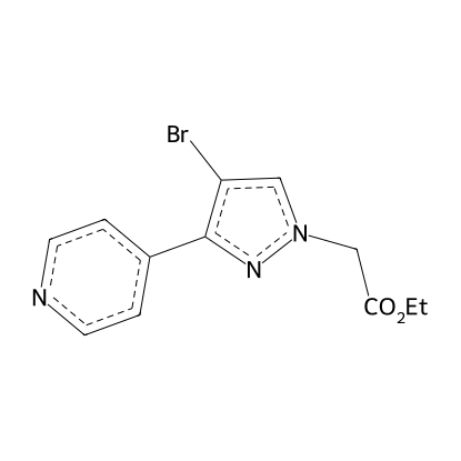 CCOC(=O)Cn1cc(Br)c(-c2ccncc2)n1